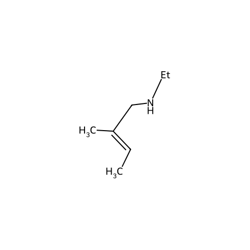 CC=C(C)CNCC